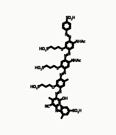 CC(=O)Nc1cc(N=Nc2cc(SCCCS(=O)(=O)O)c(N=Nc3cc(OCCCS(=O)(=O)O)c(N=Nc4c(C)c(C#N)c5nc6c(C)cc(S(=O)(=O)O)cc6n5c4O)cc3C)cc2NC(C)=O)c(SCCCS(=O)(=O)O)cc1N=Nc1ccc(S(=O)(=O)O)cc1